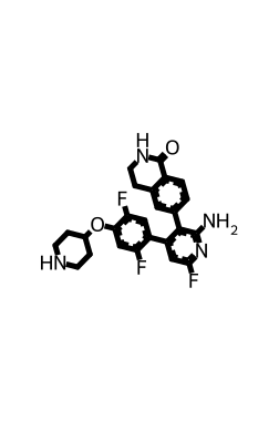 Nc1nc(F)cc(-c2cc(F)c(OC3CCNCC3)cc2F)c1-c1ccc2c(c1)CCNC2=O